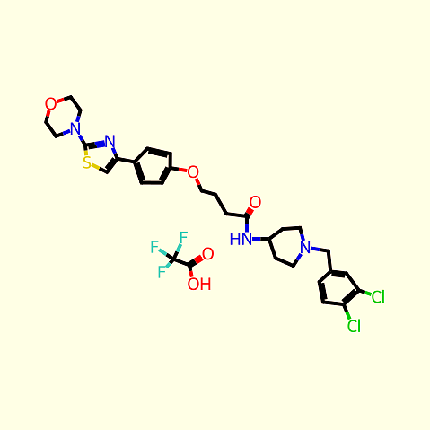 O=C(CCCOc1ccc(-c2csc(N3CCOCC3)n2)cc1)NC1CCN(Cc2ccc(Cl)c(Cl)c2)CC1.O=C(O)C(F)(F)F